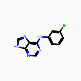 Brc1cccc(Nc2ncnc3[nH]cnc23)c1